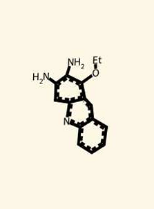 CCOc1c(N)c(N)cc2nc3ccccc3cc12